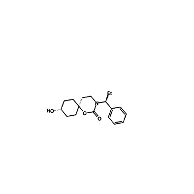 CC[C@@H](c1ccccc1)N1CC[C@]2(CC[C@@H](O)CC2)OC1=O